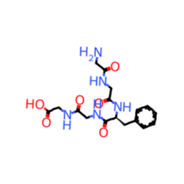 NCC(=O)NCC(=O)N[C@@H](Cc1ccccc1)C(=O)NCC(=O)NCC(=O)O